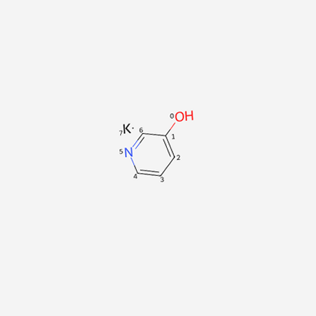 Oc1cccnc1.[K]